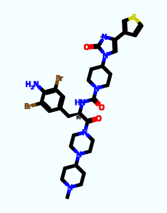 CN1CCC(N2CCN(C(=O)[C@@H](Cc3cc(Br)c(N)c(Br)c3)NC(=O)N3CCC(N4C=C(c5ccsc5)[N]C4=O)CC3)CC2)CC1